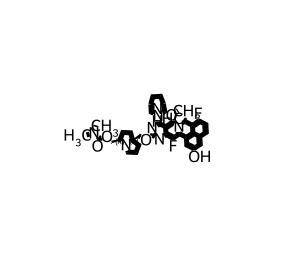 C#Cc1c(F)ccc2cc(O)cc(-c3nc(OC)c4c(N5CC6CCC(C5)N6)nc(OC[C@@]56CCCN5[C@@H](COC(=O)N(C)C)CC6)nc4c3F)c12